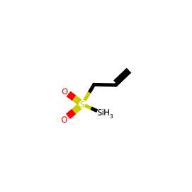 C=CCS(=O)(=O)[SiH3]